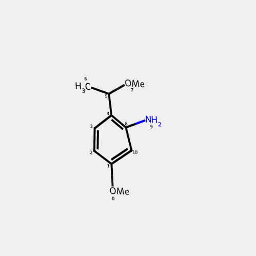 COc1ccc(C(C)OC)c(N)c1